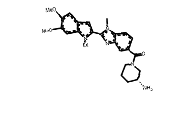 CCn1c(-c2nc3cc(C(=O)N4CCC[C@@H](N)C4)ccc3n2C)cc2cc(OC)c(OC)cc21